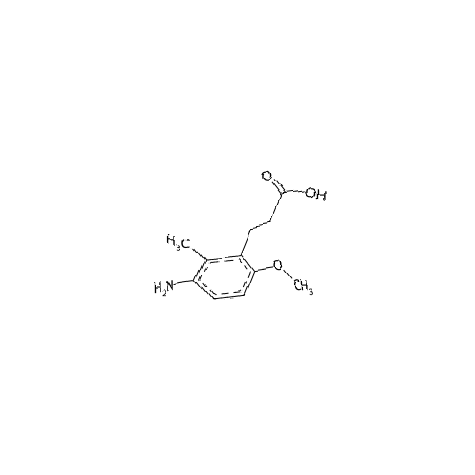 COc1ccc(N)c(C)c1CCC(=O)O